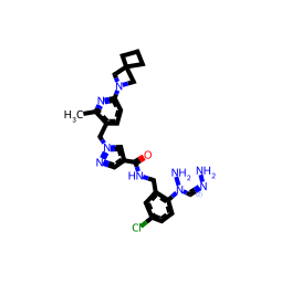 Cc1nc(N2CC3(CCC3)C2)ccc1Cn1cc(C(=O)NCc2cc(Cl)ccc2N(N)/C=N\N)cn1